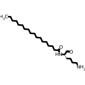 CCCCCCCCCCCCCCCCCC(=O)N[C@H]([C]=O)CCCCN